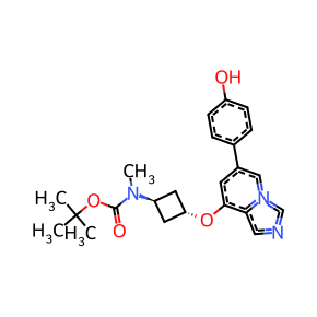 CN(C(=O)OC(C)(C)C)[C@H]1C[C@H](Oc2cc(-c3ccc(O)cc3)cn3cncc23)C1